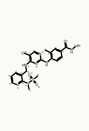 CCCNC(=O)c1ccc(Nc2ncc(Cl)c(NCc3cccnc3N(C)S(C)(=O)=O)n2)c(C)c1